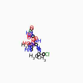 CC1(C)CCC(CN2CCN(c3ccc(C(=O)NS(=O)(=O)c4ccc(NCC5(F)CCOCC5)c([N+](=O)[O-])c4)c(N4CC[PH](C)(O)c5nc6[nH]ccc6cc54)c3)CC2)=C(c2ccc(Cl)cc2)C1